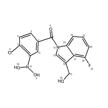 O=C(c1ccc(Cl)c(N(O)O)c1)n1cc(CO)c2c(F)cccc21